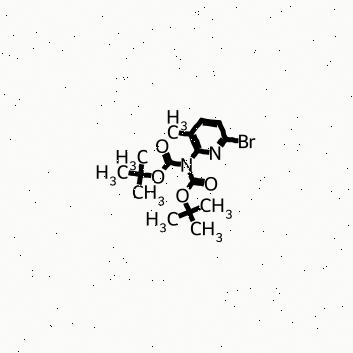 Cc1ccc(Br)nc1N(C(=O)OC(C)(C)C)C(=O)OC(C)(C)C